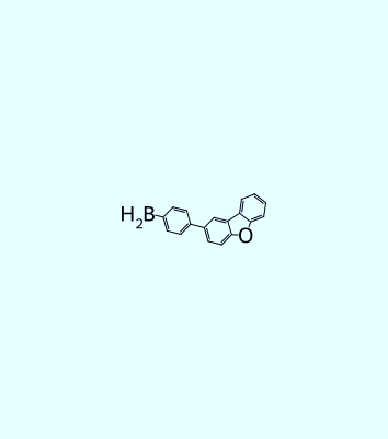 Bc1ccc(-c2ccc3oc4ccccc4c3c2)cc1